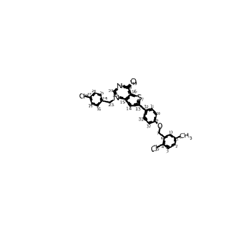 Cc1ccc(Cl)c(COc2ccc(-c3cc4c(s3)c(=O)ncn4Cc3ccc(Cl)cc3)cc2)c1